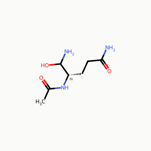 CC(=O)N[C@@H](CCC(N)=O)C(N)O